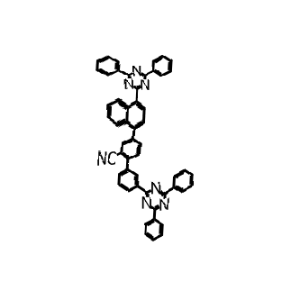 N#Cc1cc(-c2ccc(-c3nc(-c4ccccc4)nc(-c4ccccc4)n3)c3ccccc23)ccc1-c1cccc(-c2nc(-c3ccccc3)nc(-c3ccccc3)n2)c1